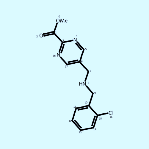 COC(=O)c1ncc(CNCc2ccccc2Cl)cn1